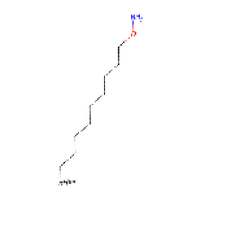 CCCCCCCCCCCCCCCON